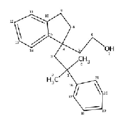 CC(C)(CC1(CCO)CCc2ccccc21)c1ccccc1